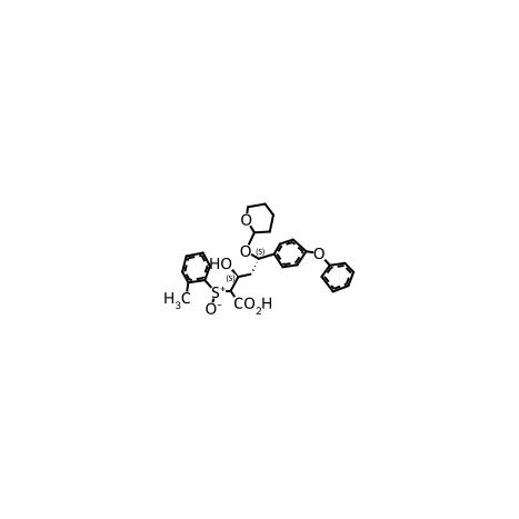 Cc1ccccc1[S+]([O-])C(C(=O)O)[C@@H](O)C[C@H](OC1CCCCO1)c1ccc(Oc2ccccc2)cc1